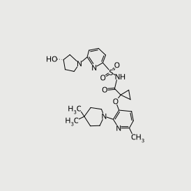 Cc1ccc(OC2(C(=O)NS(=O)(=O)c3cccc(N4CC[C@H](O)C4)n3)CC2)c(N2CCC(C)(C)CC2)n1